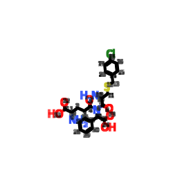 N[C@@H](CCC(=O)N(C(=O)[C@@H](N)CSCc1ccc(Cl)cc1)[C@@H](C(=O)O)c1ccccc1)C(=O)O